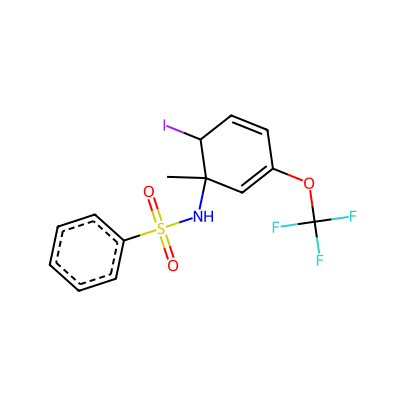 CC1(NS(=O)(=O)c2ccccc2)C=C(OC(F)(F)F)C=CC1I